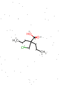 CCCC(CCl)(CCC)C(=O)O